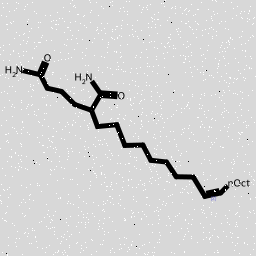 CCCCCCCC/C=C\CCCCCCCCC(CCCC(N)=O)C(N)=O